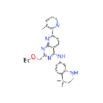 CCOCc1nc(Nc2ccc3c(c2)NCCC3(C)C)c2ccc(-c3ncccc3C)nc2n1